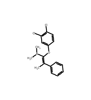 CC(=C(Oc1ccc(Cl)c(Cl)c1)N(C)C)c1ccccc1